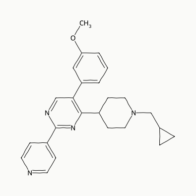 COc1cccc(-c2cnc(-c3ccncc3)nc2C2CCN(CC3CC3)CC2)c1